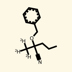 [2H]C([2H])([2H])C(C#N)(CCC)OCc1ccccc1